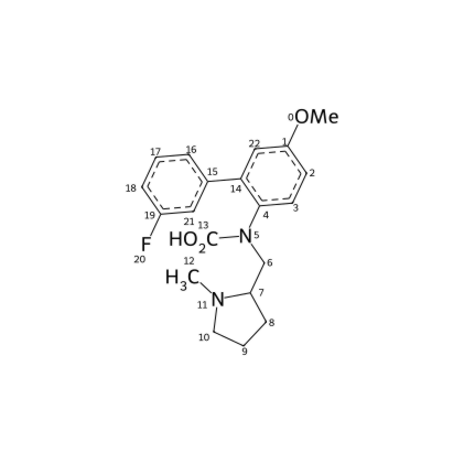 COc1ccc(N(CC2CCCN2C)C(=O)O)c(-c2cccc(F)c2)c1